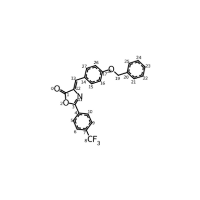 O=C1OC(c2ccc(C(F)(F)F)cc2)=NC1=Cc1ccc(OCc2ccccc2)cc1